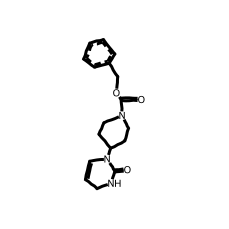 O=C(OCc1ccccc1)N1CCC(N2C=CCNC2=O)CC1